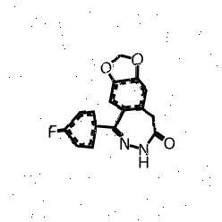 O=C1Cc2cc3c(cc2C(c2ccc(F)cc2)=NN1)OCO3